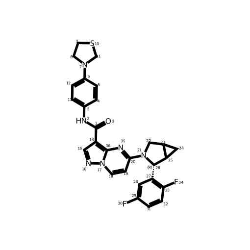 O=C(Nc1ccc(N2CCSC2)cc1)c1cnn2ccc(N3CC4CC4[C@@H]3c3cc(F)ccc3F)nc12